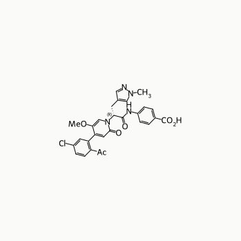 COc1cn([C@H](Cc2cnn(C)c2)C(=O)Nc2ccc(C(=O)O)cc2)c(=O)cc1-c1cc(Cl)ccc1C(C)=O